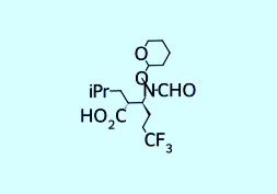 CC(C)C[C@@H](C(=O)O)[C@H](CCC(F)(F)F)N(C=O)OC1CCCCO1